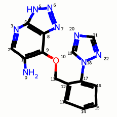 Nc1cnc2[nH]nnc2c1OCc1ccccc1-n1cncn1